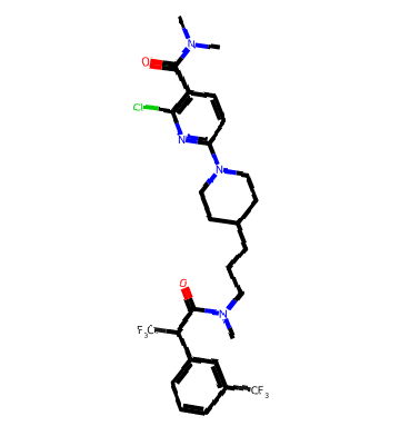 CN(C)C(=O)c1ccc(N2CCC(CCCN(C)C(=O)C(c3cccc(C(F)(F)F)c3)C(F)(F)F)CC2)nc1Cl